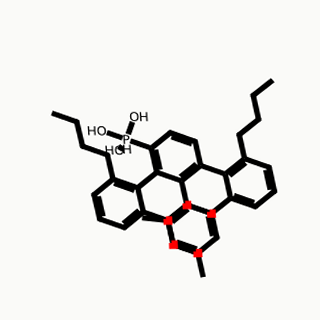 CCCCc1cccc(CCCC)c1-c1ccc([PH](O)(O)O)c(-c2c(CCCC)cccc2CCCC)c1-c1ccccc1